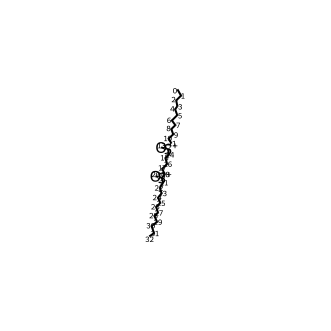 CCCCCCCCCCCC[S+]([O-])CCCCC[S+]([O-])CCCCCCCCCCCC